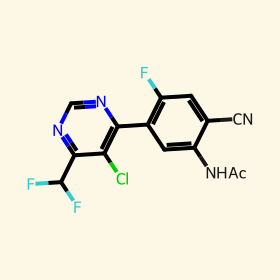 CC(=O)Nc1cc(-c2ncnc(C(F)F)c2Cl)c(F)cc1C#N